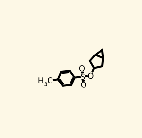 Cc1ccc(S(=O)(=O)OC2CC3CC3C2)cc1